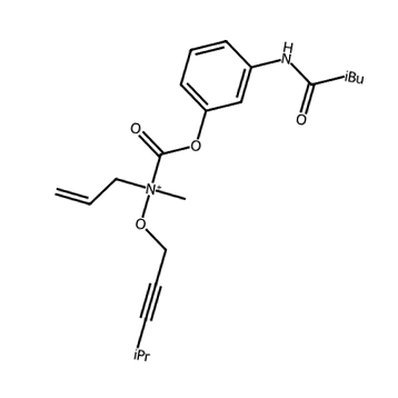 C=CC[N+](C)(OCC#CC(C)C)C(=O)Oc1cccc(NC(=O)C(C)CC)c1